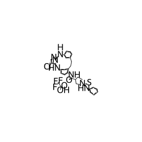 O=C(Nc1ccc2cc1CCc1cccc(c1)Nc1ncc(Cl)c(n1)N2)C1CCN(C(=S)Nc2ccccc2)CC1.O=C(O)C(F)(F)F